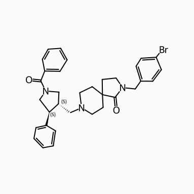 O=C(c1ccccc1)N1C[C@H](CN2CCC3(CC2)CCN(Cc2ccc(Br)cc2)C3=O)[C@@H](c2ccccc2)C1